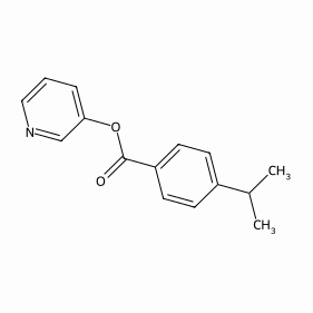 CC(C)c1ccc(C(=O)Oc2cccnc2)cc1